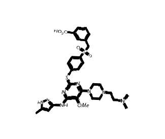 COc1c(Nc2cc(C)[nH]n2)nc(Sc2ccc(S(=O)(=O)Cc3cccc(C(=O)O)c3)cc2)nc1N1CCN(CCN(C)C)CC1